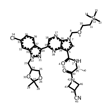 C[C@@H](NC(=O)c1cn(COCC[Si](C)(C)C)c2ncc(-c3nn(CC4COC(C)(C)O4)c4cc(Cl)ccc34)nc12)C(=O)N1CC(C#N)C1